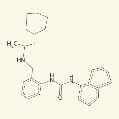 CC(CC1CCCCC1)NCc1ccccc1NC(=O)Nc1cccc2ccccc12